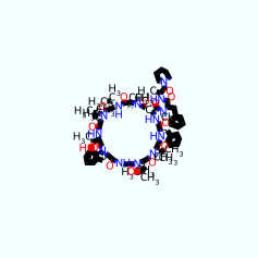 CC(C)C[C@H]1C(=O)N(C)[C@@H](C(C)C)C(=O)N[C@@H](Cc2ccccc2)C(=O)N[C@H](C(=O)N(C)C(Cc2ccccc2)C(=O)NC(C)C(=O)N2CCCCC2)CC(=O)N(C)[C@H](C)C(=O)N[C@@H](C(C)C)C(=O)N(C)[C@@H](CC(C)C)C(=O)N[C@@H]([C@@H](C)O)C(=O)N(C)[C@@H](Cc2ccccc2)C(=O)NCC(=O)N1C